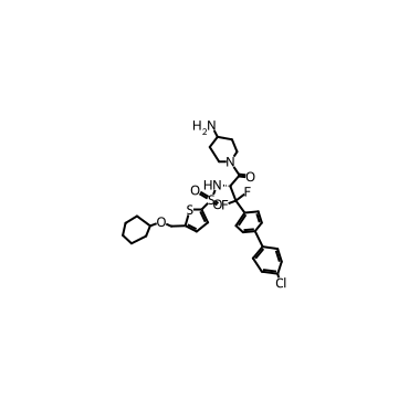 NC1CCN(C(=O)[C@@H](NS(=O)(=O)c2ccc(COC3CCCCC3)s2)C(F)(F)c2ccc(-c3ccc(Cl)cc3)cc2)CC1